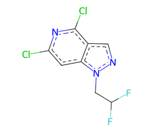 FC(F)Cn1ncc2c(Cl)nc(Cl)cc21